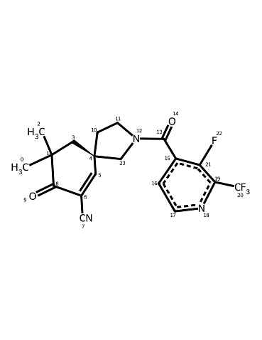 CC1(C)C[C@@]2(C=C(C#N)C1=O)CCN(C(=O)c1ccnc(C(F)(F)F)c1F)C2